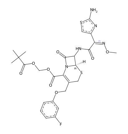 CO/N=C(\C(=O)NC1C(=O)N2C(C(=O)OCOC(=O)C(C)(C)C)=C(COc3cccc(F)c3)CS[C@H]12)c1csc(N)n1